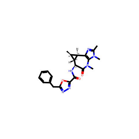 Cc1nc2c(n1C)N(C)C(=O)[C@@H](NC(=O)c1nnc(Cc3ccccc3)o1)[C@@H]1[C@@H](C)[C@@H]21